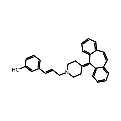 Oc1cccc(C=CCN2CCC(=C3c4ccccc4C=Cc4ccccc43)CC2)c1